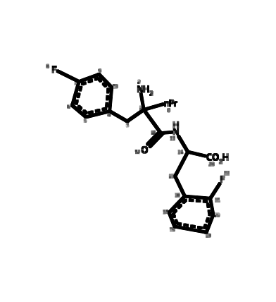 CCCC(N)(Cc1ccc(F)cc1)C(=O)NC(Cc1ccccc1F)C(=O)O